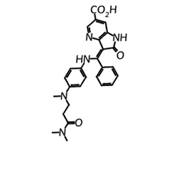 CN(C)C(=O)CCN(C)c1ccc(N/C(=C2/C(=O)Nc3cc(C(=O)O)cnc32)c2ccccc2)cc1